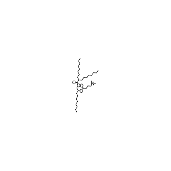 CCCCCCCCC(COC(=O)C(CCCCCCCC)CCCCCCCC)OC(=O)CCCN(C)C